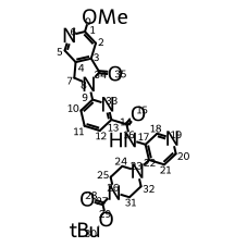 COc1cc2c(cn1)CN(c1cccc(C(=O)Nc3cnccc3N3CCN(C(=O)OC(C)(C)C)CC3)n1)C2=O